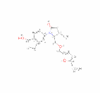 N#CC1CC(=O)N(c2ccc3c(c2)CCC3O)C1COCc1ccc(C(=O)O)o1